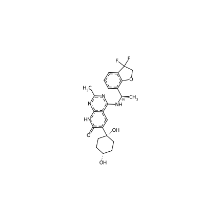 Cc1nc(N[C@H](C)c2cccc3c2OCC3(F)F)c2cc([C@]3(O)CC[C@@H](O)CC3)c(=O)[nH]c2n1